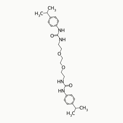 CC(C)c1ccc(NC(=O)NCCOCCOCCNC(=O)Nc2ccc(C(C)C)cc2)cc1